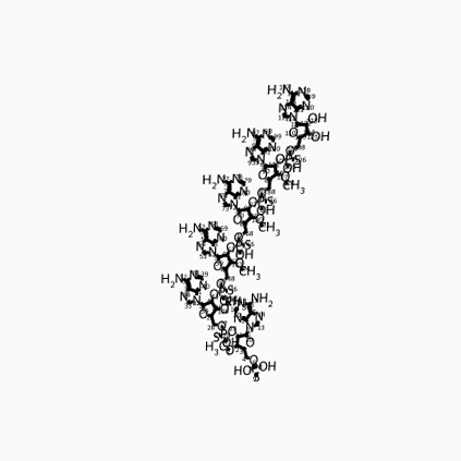 COC1C(COP(O)(O)=S)OC(n2cnc3c(N)ncnc32)C1OP(O)(=S)OCC1OC(n2cnc3c(N)ncnc32)C(OP(O)(=S)OCC2OC(n3cnc4c(N)ncnc43)C(OP(O)(=S)OCC3OC(n4cnc5c(N)ncnc54)C(OP(O)(=S)OCC4OC(n5cnc6c(N)ncnc65)C(OP(O)(=S)OCC5OC(n6cnc7c(N)ncnc76)C(O)C5O)C4OC)C3OC)C2OC)C1OC